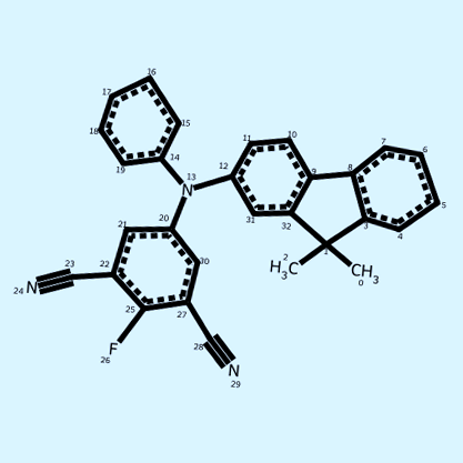 CC1(C)c2ccccc2-c2ccc(N(c3ccccc3)c3cc(C#N)c(F)c(C#N)c3)cc21